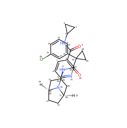 O=C(NC1CC1)c1ccc(N2[C@@H]3CC[C@H]2C[C@@H](NC(=O)C2(c4cccc(Cl)c4)CC2)C3)nc1